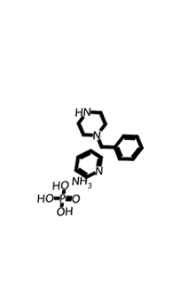 N.O=P(O)(O)O.c1ccc(CN2CCNCC2)cc1.c1ccncc1